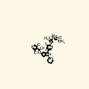 C[C@@H](Oc1ccc2c(c1)c(-c1cnc(N3CC(C)(NCP(C)(C)=O)C3)c(F)c1)nn2C1CCCCO1)c1c(Cl)cncc1Cl